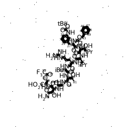 CC[C@H](C)[C@H](NC(=O)[C@@H](CCCNC(=N)N)NC(=O)[C@H](CC(C)C)NC(=O)[C@@H](NC(=O)[C@H](Cc1cccc(NC(=O)OC(C)(C)C)c1)NC(=O)OCc1ccccc1)C(O)C(C)C)C(=O)N[C@H](C(=O)NCC(=O)N[C@H](C(=O)N[C@@H](COC(=O)C(F)(F)F)C(=O)O)C(O)C(N)=O)[C@H](C)O